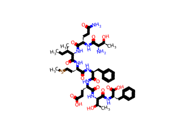 CC[C@H](C)[C@H](NC(=O)[C@H](CCC(N)=O)NC(=O)[C@@H](N)[C@@H](C)O)C(=O)N[C@@H](CCSC)C(=O)N[C@@H](Cc1ccccc1)C(=O)N[C@@H](CCC(=O)O)C(=O)N[C@H](C(=O)N[C@@H](Cc1ccccc1)C(=O)O)[C@@H](C)O